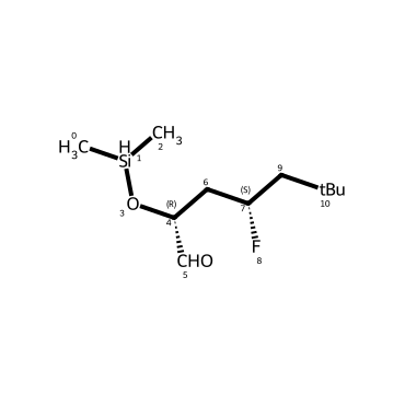 C[SiH](C)O[C@@H](C=O)C[C@@H](F)CC(C)(C)C